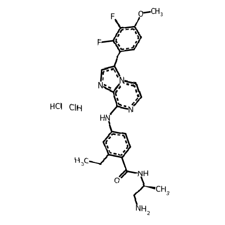 CCc1cc(Nc2nccn3c(-c4ccc(OC)c(F)c4F)cnc23)ccc1C(=O)N[C@@H](C)CN.Cl.Cl